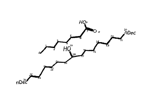 CCCCCCCC(=O)O.CCCCCCCCCCCCCCCCCC(O)CCCCCCCCCCCCCCCC